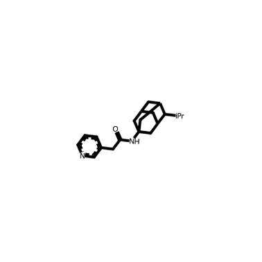 CC(C)C1C2CC3CC1CC(NC(=O)Cc1cccnc1)(C3)C2